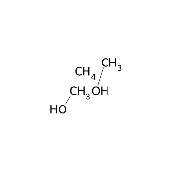 C.CO.CO